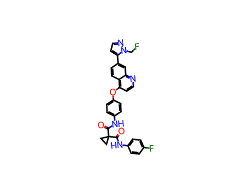 O=C(Nc1ccc(F)cc1)C1(C(=O)Nc2ccc(Oc3ccnc4cc(-c5ccnn5CF)ccc34)cc2)CC1